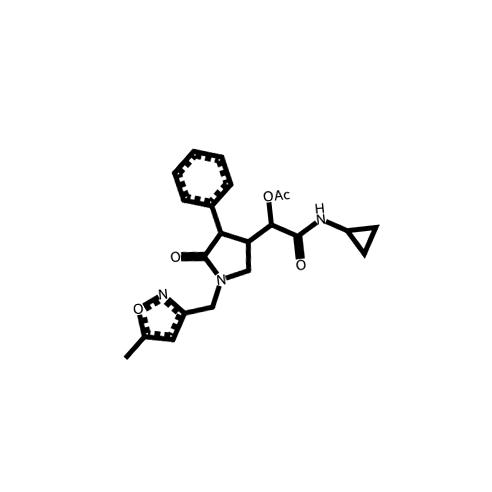 CC(=O)OC(C(=O)NC1CC1)C1CN(Cc2cc(C)on2)C(=O)C1c1ccccc1